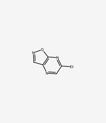 CCc1cnc2cnoc2n1